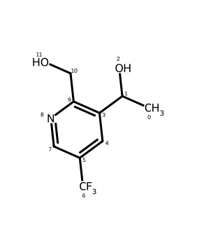 CC(O)c1cc(C(F)(F)F)cnc1CO